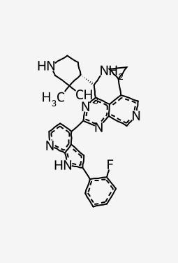 CC1(C)CNCC[C@@H]1C(N)c1nc(-c2ccnc3[nH]c(-c4ccccc4F)cc23)nc2cncc(C3CC3)c12